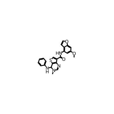 COc1cc(NC(=O)c2csc3c2N=CN(C)C3Nc2ccccc2)c2ccoc2c1